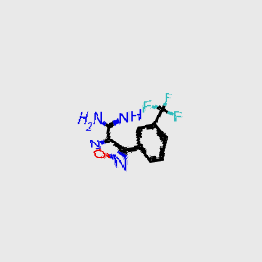 N=C(N)c1nonc1-c1cccc(C(F)(F)F)c1